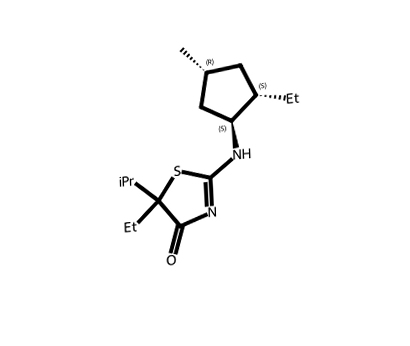 CC[C@H]1C[C@@H](C)C[C@@H]1NC1=NC(=O)C(CC)(C(C)C)S1